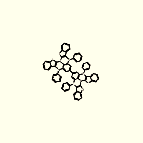 c1ccc(N2c3cc(-c4cc5c6c(c4)N(c4ccccc4)c4c(sc7ccccc47)B6c4sc6ccccc6c4N5c4ccccc4)cc4c3B(c3sc5ccccc5c32)c2sc3ccccc3c2N4c2ccccc2)cc1